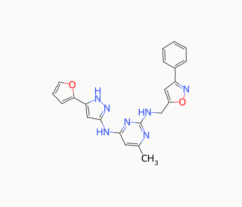 Cc1cc(Nc2cc(-c3ccco3)[nH]n2)nc(NCc2cc(-c3ccccc3)no2)n1